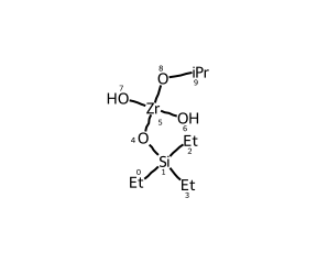 CC[Si](CC)(CC)[O][Zr]([OH])([OH])[O]C(C)C